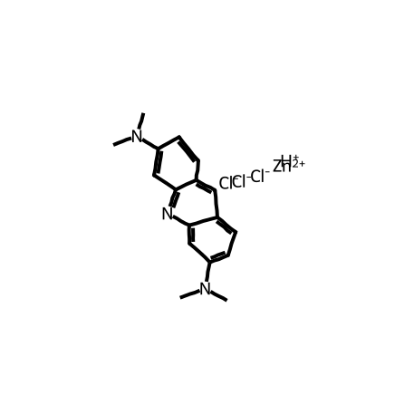 CN(C)c1ccc2cc3ccc(N(C)C)cc3nc2c1.[Cl-].[Cl-].[Cl-].[H+].[Zn+2]